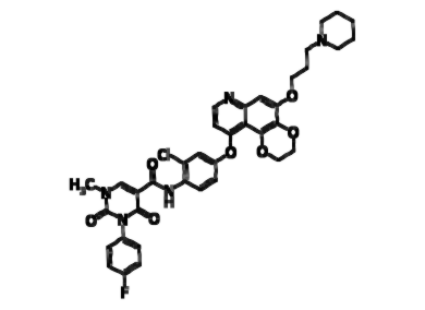 Cn1cc(C(=O)Nc2ccc(Oc3ccnc4cc(OCCCN5CCCCC5)c5c(c34)OCCO5)cc2Cl)c(=O)n(-c2ccc(F)cc2)c1=O